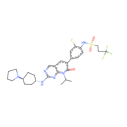 CC(C)n1c(=O)c(-c2ccc(NS(=O)(=O)CCC(F)(F)F)c(F)c2)cc2cnc(N[C@H]3CC[C@H](N4CCCC4)CC3)nc21